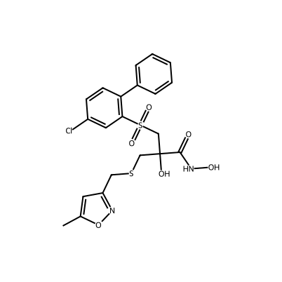 Cc1cc(CSCC(O)(CS(=O)(=O)c2cc(Cl)ccc2-c2ccccc2)C(=O)NO)no1